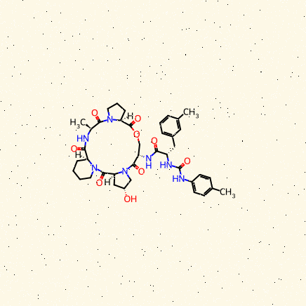 Cc1ccc(NC(=O)N[C@@H](Cc2cccc(C)c2)C(=O)N[C@H]2COC(=O)[C@@H]3CCCN3C(=O)[C@H](C)NC(=O)[C@@H]3CCCCN3C(=O)[C@@H]3C[C@@H](O)CN3C2=O)cc1